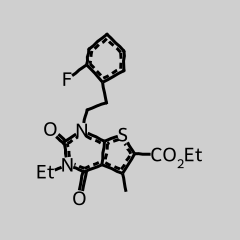 CCOC(=O)c1sc2c(c1C)c(=O)n(CC)c(=O)n2CCc1ccccc1F